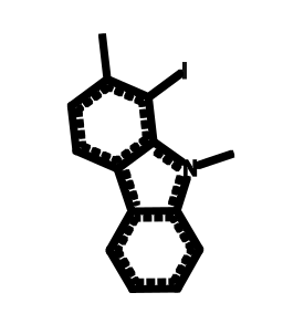 Cc1ccc2c3ccccc3n(C)c2c1I